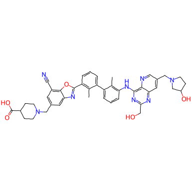 Cc1c(Nc2nc(CO)nc3cc(CN4CCC(O)C4)cnc23)cccc1-c1cccc(-c2nc3cc(CN4CCC(C(=O)O)CC4)cc(C#N)c3o2)c1C